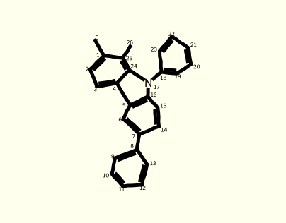 Cc1ccc2c3cc(-c4ccccc4)ccc3n(-c3ccccc3)c2c1C